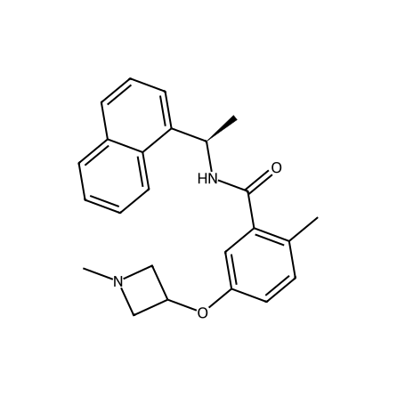 Cc1ccc(OC2CN(C)C2)cc1C(=O)N[C@H](C)c1cccc2ccccc12